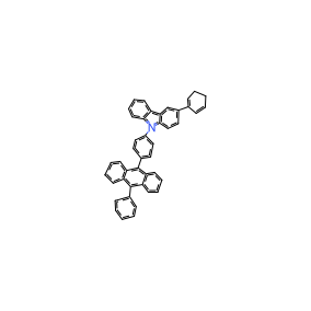 C1=CC(c2ccc3c(c2)c2ccccc2n3-c2ccc(-c3c4ccccc4c(-c4ccccc4)c4ccccc34)cc2)=CCC1